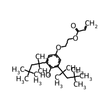 C=CC(=O)OCCOc1cc(C(C)(C)CC(C)(C)C)c(O)c(C(C)(C)CC(C)(C)C)c1